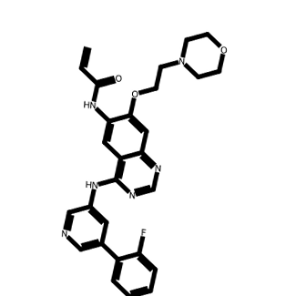 C=CC(=O)Nc1cc2c(Nc3cncc(-c4ccccc4F)c3)ncnc2cc1OCCN1CCOCC1